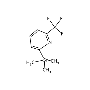 [CH3][Sn]([CH3])([CH3])[c]1cccc(C(F)(F)F)n1